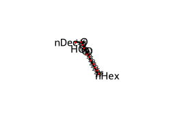 CCCCCCCCCCCCCC(=O)OCC(O)COC(=O)CCCCCCCCCCCCCC(C)CCCCCC